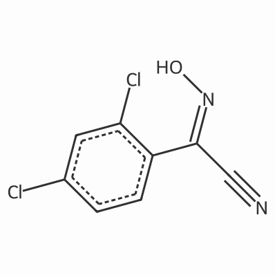 N#C/C(=N/O)c1ccc(Cl)cc1Cl